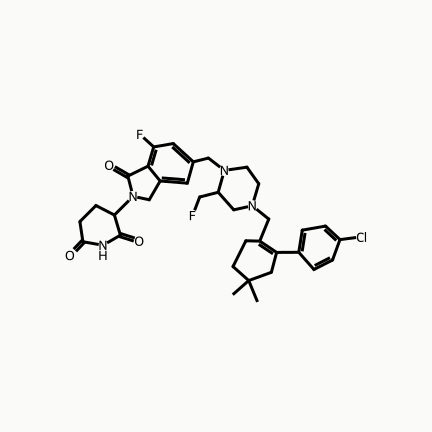 CC1(C)CCC(CN2CCN(Cc3cc(F)c4c(c3)CN(C3CCC(=O)NC3=O)C4=O)C(CF)C2)=C(c2ccc(Cl)cc2)C1